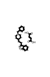 O=C(O)C=CC(=O)O.c1ccc(CN2CCC(CCc3noc4ccccc34)CC2)cc1